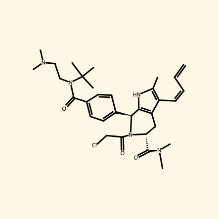 C=C/C=C\c1c(C)[nH]c2c1C[C@H](C(=O)N(C)C)N(C(=O)CCl)[C@H]2c1ccc(C(=O)N(CCN(C)C)C(C)(C)C)cc1